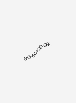 CCOCOCCCOc1ccc(C(C)(C)c2ccc(OCCCOCC3CO3)cc2)cc1